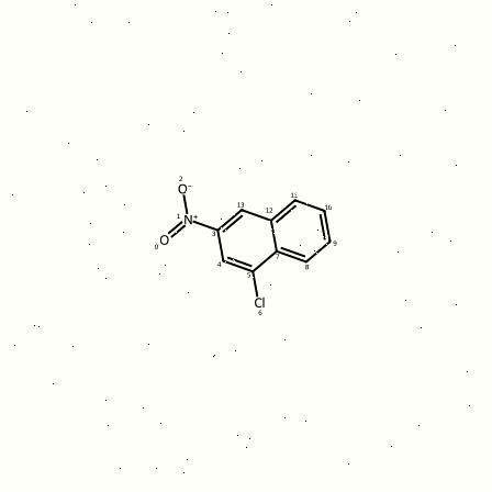 O=[N+]([O-])c1cc(Cl)c2ccccc2c1